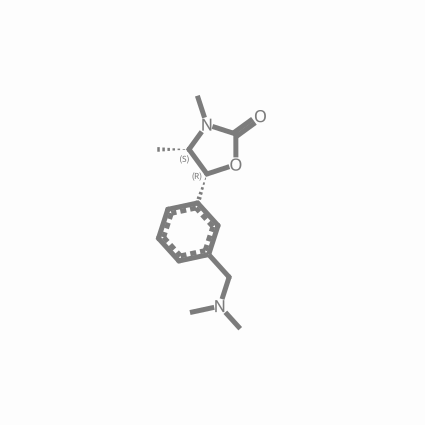 C[C@H]1[C@@H](c2cccc(CN(C)C)c2)OC(=O)N1C